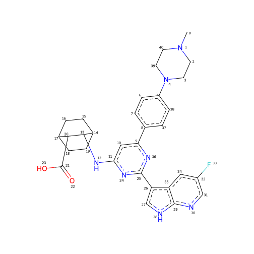 CN1CCN(c2ccc(-c3cc(NC4C5CCC(CC5)C4C(=O)O)nc(-c4c[nH]c5ncc(F)cc45)n3)cc2)CC1